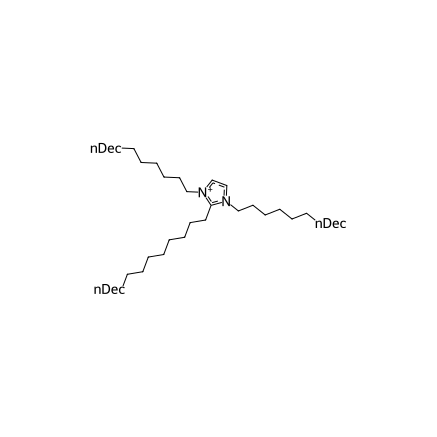 CCCCCCCCCCCCCCCCCCc1n(CCCCCCCCCCCCCCCC)cc[n+]1CCCCCCCCCCCCCCCC